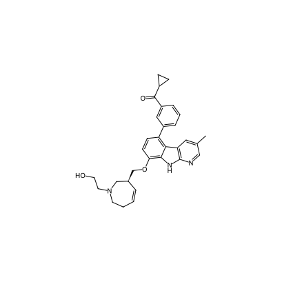 Cc1cnc2[nH]c3c(OC[C@H]4C=CCCN(CCO)C4)ccc(-c4cccc(C(=O)C5CC5)c4)c3c2c1